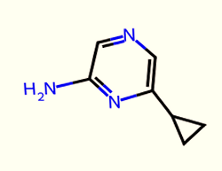 Nc1cncc(C2CC2)n1